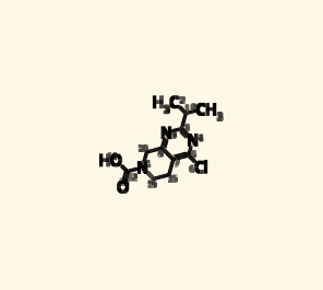 CC(C)c1nc(Cl)c2c(n1)CN(C(=O)O)CC2